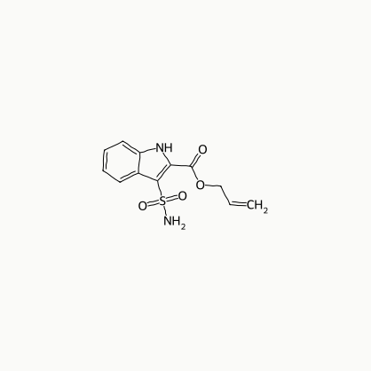 C=CCOC(=O)c1[nH]c2ccccc2c1S(N)(=O)=O